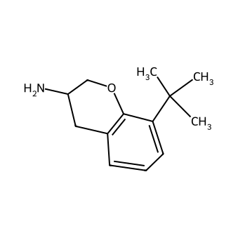 CC(C)(C)c1cccc2c1OCC(N)C2